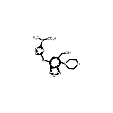 CN(C(=O)O)c1nnc(Nc2cc(CO)c(N3CCOCC3)c3nonc23)s1